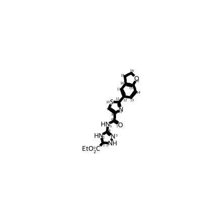 CCOC(=O)C1NN=C(NC(=O)c2csc(-c3ccc4c(c3)CCO4)n2)N1